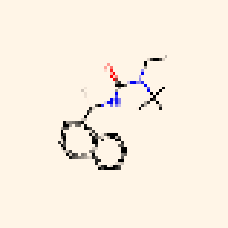 CCN(C(=O)N[C@@H](C)c1cccc2ccccc12)C(C)(C)C